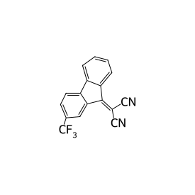 N#CC(C#N)=C1c2ccccc2-c2ccc(C(F)(F)F)cc21